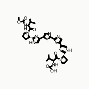 COC(=O)N[C@@H](C(=O)N1CCC[C@H]1c1nc(-c2cnc(-c3ncc(-c4c[nH]c([C@@H]5CCCN5C(=O)[C@H](NC(=O)O)C(C)C)n4)s3)s2)c[nH]1)C(C)C